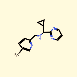 FC(F)(F)c1ccc(CN[C@H](c2ncccn2)C2CC2)nc1